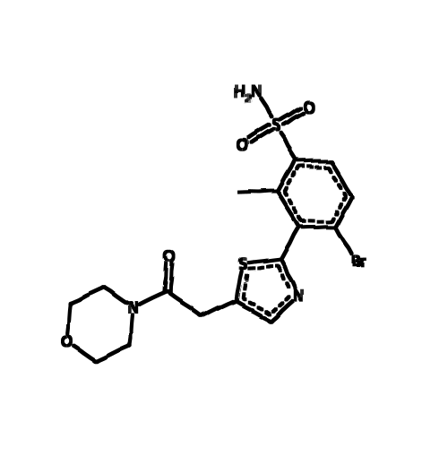 Cc1c(S(N)(=O)=O)ccc(Br)c1-c1ncc(CC(=O)N2CCOCC2)s1